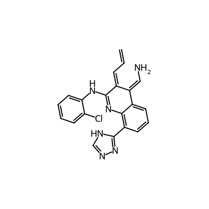 C=C/C=c1/c(Nc2ccccc2Cl)nc2c(-c3nnc[nH]3)cccc2/c1=C/N